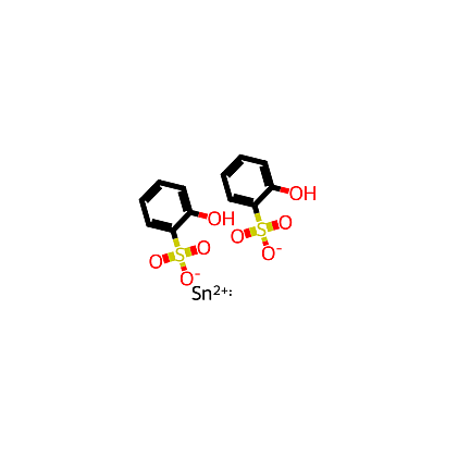 O=S(=O)([O-])c1ccccc1O.O=S(=O)([O-])c1ccccc1O.[Sn+2]